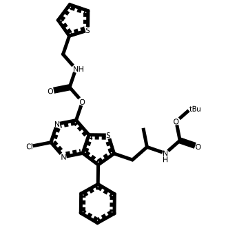 CC(Cc1sc2c(OC(=O)NCc3cccs3)nc(Cl)nc2c1-c1ccccc1)NC(=O)OC(C)(C)C